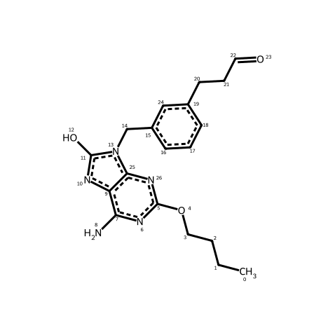 CCCCOc1nc(N)c2nc(O)n(Cc3cccc(CCC=O)c3)c2n1